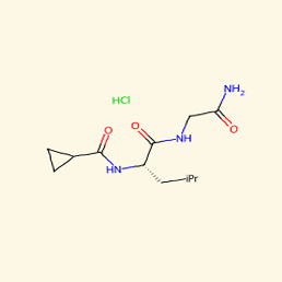 CC(C)C[C@H](NC(=O)C1CC1)C(=O)NCC(N)=O.Cl